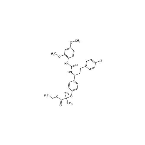 CCOC(=O)C(C)(C)Oc1ccc(C(CCc2ccc(Cl)cc2)NC(=O)Nc2ccc(OC)cc2OC)cc1